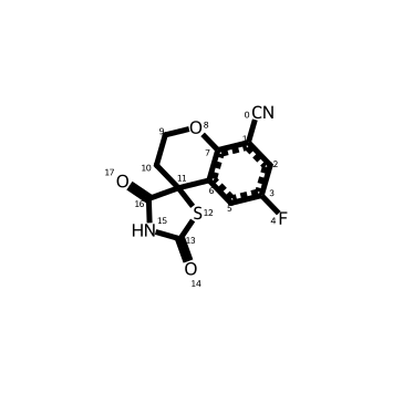 N#Cc1cc(F)cc2c1OCCC21SC(=O)NC1=O